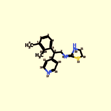 Cc1cccc(C(CN=C2NCCS2)c2ccncc2)c1C